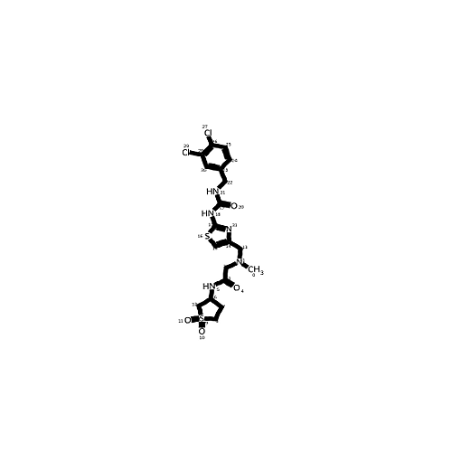 CN(CC(=O)NC1CCS(=O)(=O)C1)Cc1csc(NC(=O)NCc2ccc(Cl)c(Cl)c2)n1